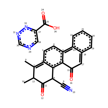 CC1=c2ccc3c(c2C(C#N)C(=O)C1C)C(=O)C=c1ccccc1=3.O=C(O)c1cncnn1